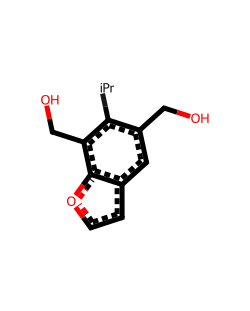 CC(C)c1c(CO)cc2ccoc2c1CO